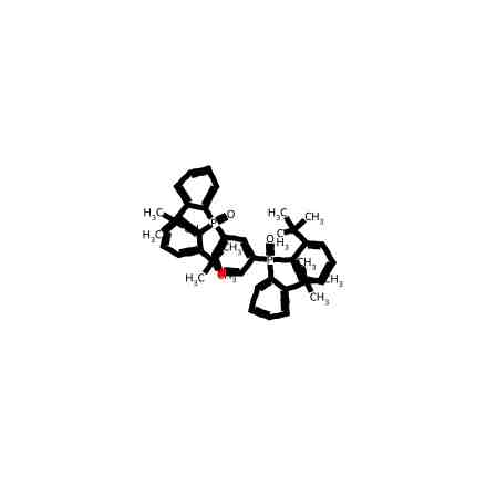 CC(C)(C)c1ccccc1P(=O)(c1cccc(P(=O)(c2ccccc2C(C)(C)C)c2ccccc2C(C)(C)C)c1)c1ccccc1C(C)(C)C